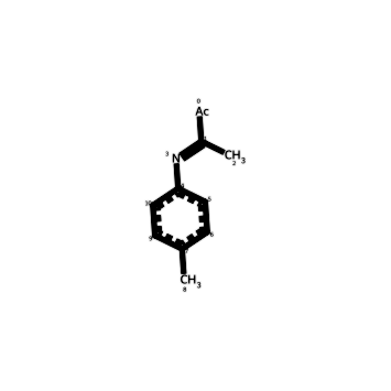 CC(=O)C(C)=Nc1ccc(C)cc1